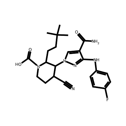 CC(C)(C)CCC1C(n2cc(C(N)=O)c(Nc3ccc(F)cc3)n2)C(C#N)CCN1C(=O)O